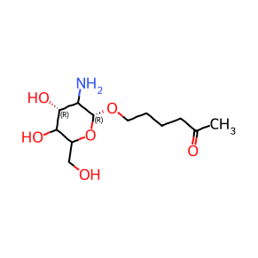 CC(=O)CCCCO[C@@H]1OC(CO)C(O)[C@H](O)C1N